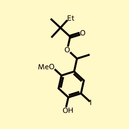 CCC(C)(C)C(=O)OC(C)c1cc(I)c(O)cc1OC